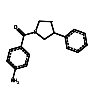 Nc1ccc(C(=O)N2C[CH]C(c3ccccc3)C2)cc1